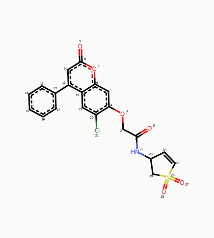 O=C(COc1cc2oc(=O)cc(-c3ccccc3)c2cc1Cl)NC1C=CS(=O)(=O)C1